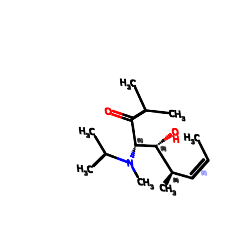 C/C=C\[C@@H](C)[C@@H](O)[C@@H](C(=O)C(C)C)N(C)C(C)C